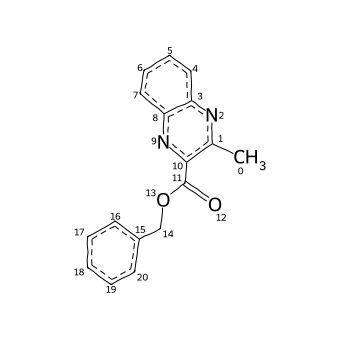 Cc1nc2ccccc2nc1C(=O)OCc1ccccc1